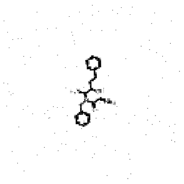 [N-]=[N+]=CC(=O)N(Cc1ccccc1)C(N)C(O)CCc1ccccc1